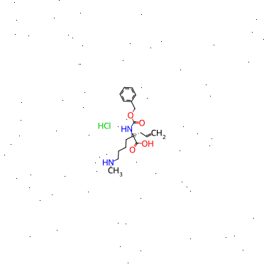 C=CC[C@](CCCCNC)(NC(=O)OCc1ccccc1)C(=O)O.Cl